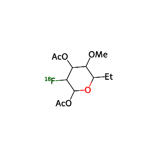 CCC1OC(OC(C)=O)C([18F])C(OC(C)=O)C1OC